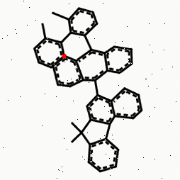 Cc1ccccc1-c1c(C)cccc1-c1c2ccccc2c(-c2cc3c(c4ccccc24)-c2ccccc2C3(C)C)c2ccccc12